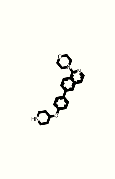 c1cc2cc(-c3ccc(OC4CCNCC4)cc3)ccc2c(N2CCOCC2)n1